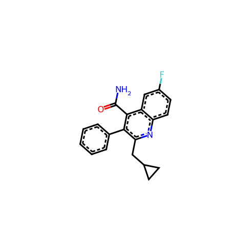 NC(=O)c1c(-c2ccccc2)c(CC2CC2)nc2ccc(F)cc12